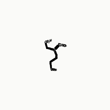 COCCN([C]=O)CC(=O)O